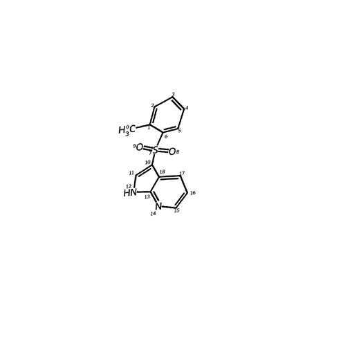 Cc1ccccc1S(=O)(=O)c1c[nH]c2ncccc12